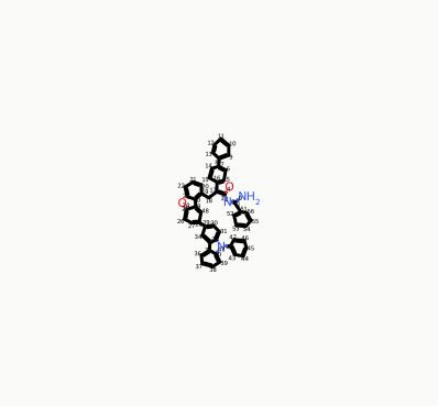 N/C(=N\c1oc2cc(-c3ccccc3)ccc2c1Cc1cccc2oc3ccc(-c4ccc5c(c4)c4ccccc4n5-c4ccccc4)cc3c12)c1ccccc1